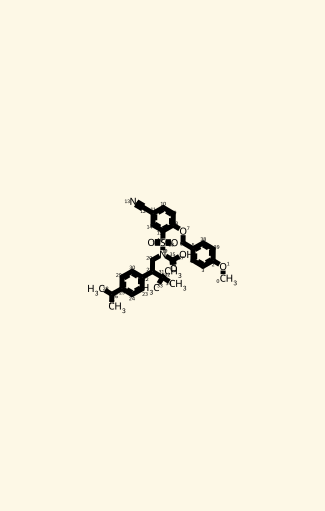 COc1ccc(COc2ccc(C#N)cc2S(=O)(=O)N(CC(c2ccc(C(C)C)cc2)C(C)(C)C)C(=O)O)cc1